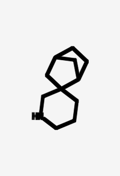 C1CNCC2(C1)CC1CCC2C1